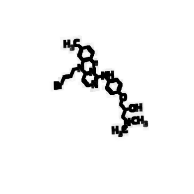 Cc1ccc(F)c(N(CC=CBr)c2ccnc(Nc3ccc(OCC(O)CN(C)C)cc3)n2)c1